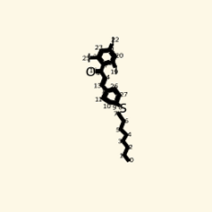 CCCCCCCCSc1ccc(/C=C/C(=O)c2c(I)cc(I)cc2I)cc1